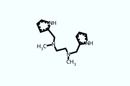 CN(CCN(C)Cc1ccc[nH]1)Cc1ccc[nH]1